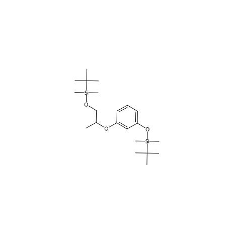 CC(CO[Si](C)(C)C(C)(C)C)Oc1cccc(O[Si](C)(C)C(C)(C)C)c1